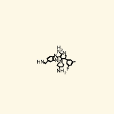 Cc1cc(F)cc(-c2cnc(N)c(-c3nc4ccc(C=N)cc4[nH]3)c2N2CCC(N)CC2)c1